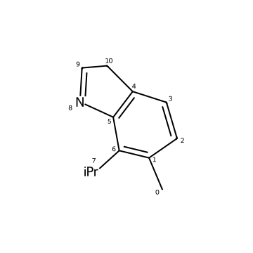 Cc1ccc2c(c1C(C)C)N=CC2